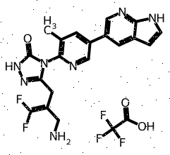 Cc1cc(-c2cnc3[nH]ccc3c2)cnc1-n1c(CC(CN)=C(F)F)n[nH]c1=O.O=C(O)C(F)(F)F